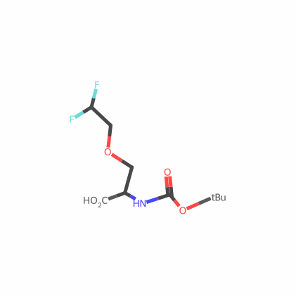 CC(C)(C)OC(=O)NC(COCC(F)F)C(=O)O